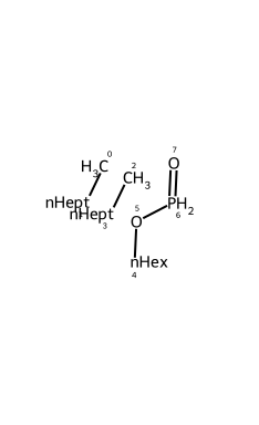 CCCCCCCC.CCCCCCCC.CCCCCCO[PH2]=O